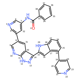 O=C(Nc1cncc(-c2cnc3[nH]nc(-c4cc5c(-c6ccncc6)cccc5[nH]4)c3c2)c1)c1ccccc1